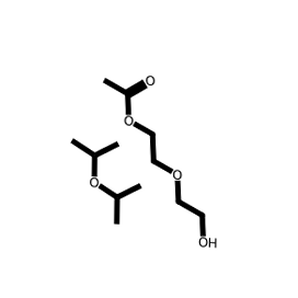 CC(=O)OCCOCCO.CC(C)OC(C)C